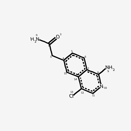 NC(=O)Cc1ccc2c(N)ncc(Cl)c2c1